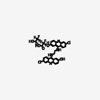 O=C(O)C(F)(F)F.O=C(O)C(F)(F)F.Oc1ccc2nc3cc(Cl)ccc3c(NCCNc3c4ccc(Cl)cc4nc4ccc(O)cc34)c2c1